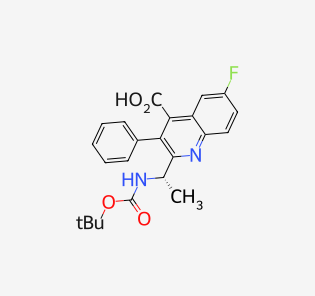 C[C@H](NC(=O)OC(C)(C)C)c1nc2ccc(F)cc2c(C(=O)O)c1-c1ccccc1